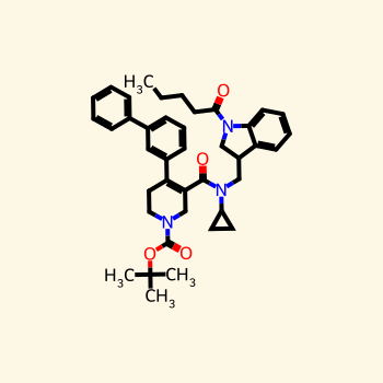 CCCCC(=O)N1CC(CN(C(=O)C2=C(c3cccc(-c4ccccc4)c3)CCN(C(=O)OC(C)(C)C)C2)C2CC2)c2ccccc21